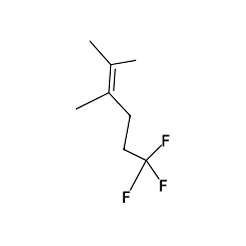 CC(C)=C(C)CCC(F)(F)F